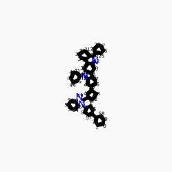 c1ccc(-c2ccc(-n3c(-c4cccc(-c5ccc6c7cc8nc(-c9ccccc9)c9ccccc9c8cc7n(-c7ccccc7)c6c5)c4)nc4ccccc43)cc2)cc1